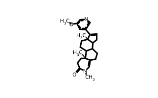 COc1cncc(C2=CCC3C4CCC5=CN(C)C(=O)CC[C@]5(C)C4CC[C@]23C)c1